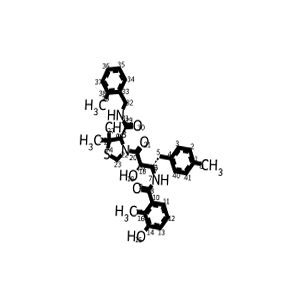 Cc1ccc(C[C@H](NC(=O)c2cccc(O)c2C)[C@H](O)C(=O)N2CSC(C)(C)[C@H]2C(=O)NCc2ccccc2C)cc1